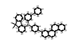 CC1(C)c2ccccc2-c2c(N(c3ccc(-c4ccc5ccc6c7ccccc7ccc6c5c4)cc3)c3cccc(-c4ccccc4)c3)cccc21